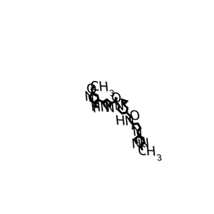 COc1cc(-c2cc(C(=O)N3CCC(C(=O)NC4CCN(c5cnc(C)nc5)C4)CC34CC4)n[nH]2)c(F)cn1